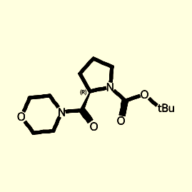 CC(C)(C)OC(=O)N1CCC[C@@H]1C(=O)N1CCOCC1